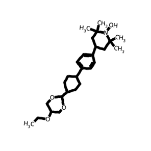 CCOC1COC(C2CCC(c3ccc(C4CC(C)(C)N(O)C(C)(C)C4)cc3)CC2)OC1